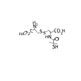 CC(C)(S)C(=O)NC(CSSCC(N)C(=O)O)C(=O)O